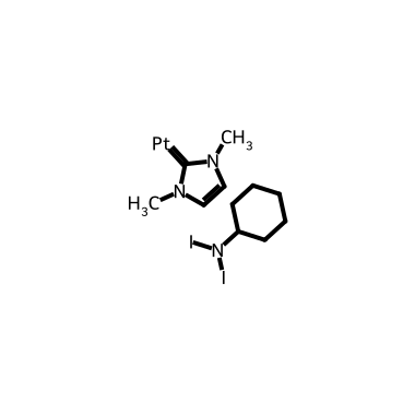 Cn1ccn(C)[c]1=[Pt].IN(I)C1CCCCC1